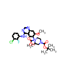 COc1cc2ncnc(Nc3cccc(Cl)c3F)c2cc1[N+]1(C(=O)O)CCN(C(=O)OC(C)(C)C)C[C@H]1C